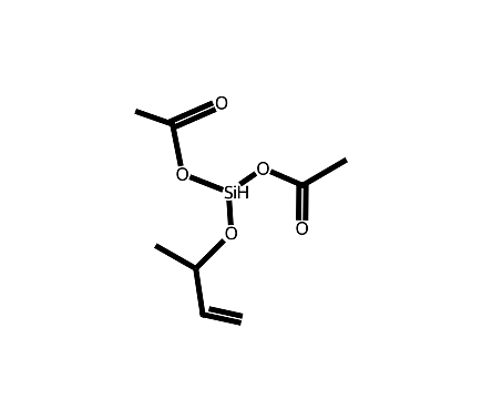 C=CC(C)O[SiH](OC(C)=O)OC(C)=O